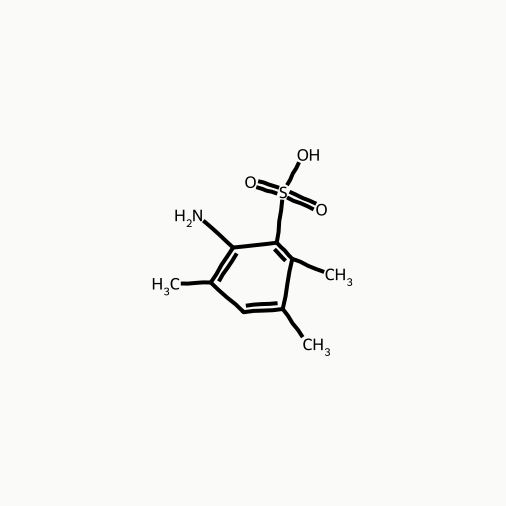 Cc1cc(C)c(N)c(S(=O)(=O)O)c1C